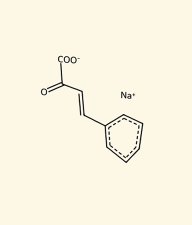 O=C([O-])C(=O)/C=C/c1ccccc1.[Na+]